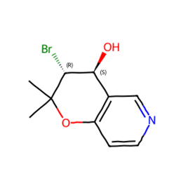 CC1(C)Oc2ccncc2[C@H](O)[C@H]1Br